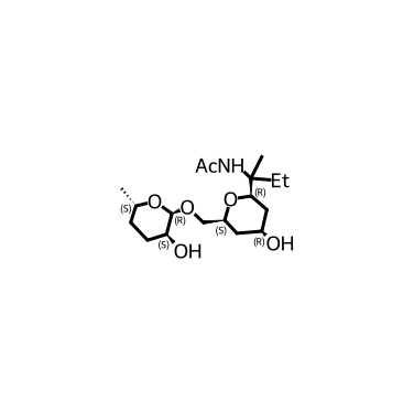 CCC(C)(NC(C)=O)[C@H]1C[C@@H](O)C[C@@H](CO[C@@H]2O[C@@H](C)CC[C@@H]2O)O1